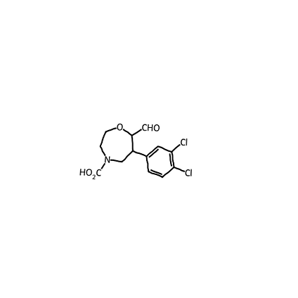 O=CC1OCCN(C(=O)O)CC1c1ccc(Cl)c(Cl)c1